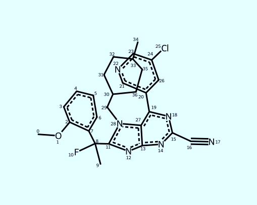 COc1ccccc1C(C)(F)c1nc2nc(C#N)nc(-c3cncc(Cl)c3)c2n1CC1CCC(C)CC1